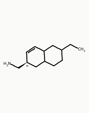 CCC1CCC2C[C@@H](CN)C=CC2C1